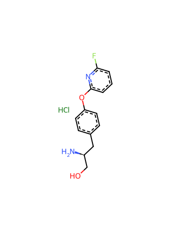 Cl.N[C@H](CO)Cc1ccc(Oc2cccc(F)n2)cc1